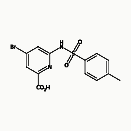 Cc1ccc(S(=O)(=O)Nc2cc(Br)cc(C(=O)O)n2)cc1